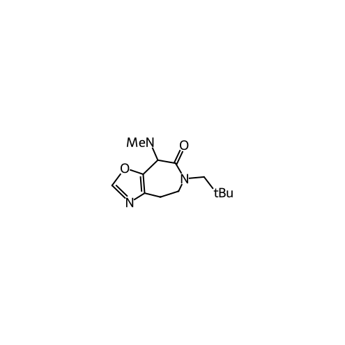 CNC1C(=O)N(CC(C)(C)C)CCc2ncoc21